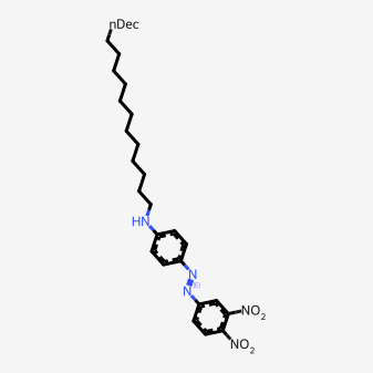 CCCCCCCCCCCCCCCCCCCCCCNc1ccc(/N=N/c2ccc([N+](=O)[O-])c([N+](=O)[O-])c2)cc1